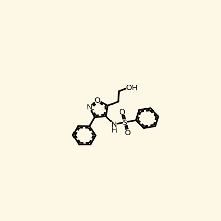 O=S(=O)(Nc1c(-c2ccccc2)noc1CCO)c1ccccc1